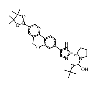 CC(C)(C)OC(O)N1CCC[C@H]1c1ncc(-c2ccc3c(c2)OCc2cc(B4OC(C)(C)C(C)(C)O4)ccc2-3)[nH]1